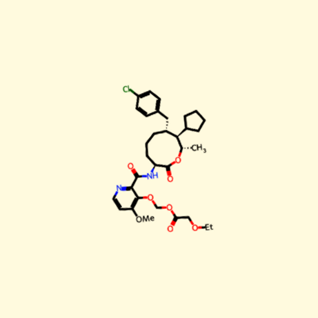 CCOCC(=O)OCOc1c(OC)ccnc1C(=O)N[C@H]1CCC[C@H](Cc2ccc(Cl)cc2)[C@@H](C2CCCC2)[C@H](C)OC1=O